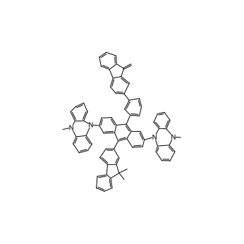 C=C1c2ccccc2-c2ccc(-c3cccc(-c4c5ccc(N6c7ccccc7N(C)c7ccccc76)cc5c(-c5ccc6c(c5)C(C)(C)c5ccccc5-6)c5ccc(N6c7ccccc7N(C)c7ccccc76)cc45)c3)cc21